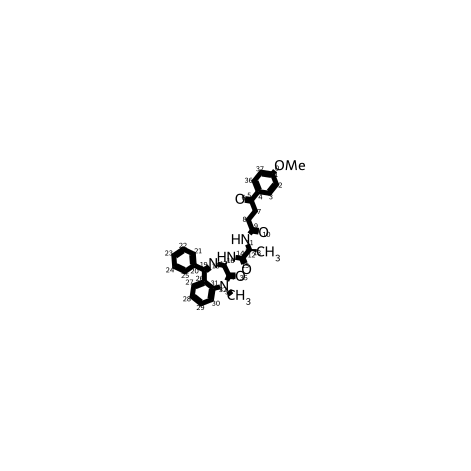 COc1ccc(C(=O)CCC(=O)N[C@@H](C)C(=O)N[C@H]2N=C(c3ccccc3)c3ccccc3N(C)C2=O)cc1